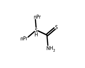 CCC[SH](CCC)C(N)=S